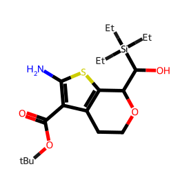 CC[Si](CC)(CC)C(O)C1OCCc2c1sc(N)c2C(=O)OC(C)(C)C